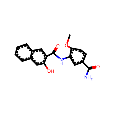 COc1ccc(C(N)=O)cc1NC(=O)c1cc2ccccc2cc1O